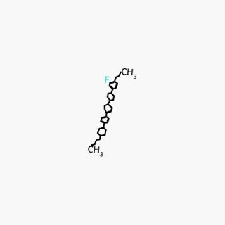 CCCCCC1CCC(c2ccc(C3=CCC(C4CCC(c5ccc(CCCC)c(F)c5)CC4)CC3)cc2)CC1